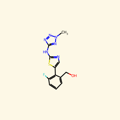 Cn1nnc(Nc2ncc(-c3c(F)cccc3CO)s2)n1